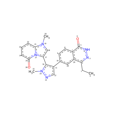 CCc1n[nH]c(=O)c2ccc(-c3cnn(C)c3-c3cn(C)c4cccc(=O)n34)cc12